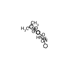 C[C@@H]1C[C@H](C)CN(S(=O)(=O)c2ccc(C(=O)Nc3nnc(C4CCCCC4)o3)cc2)C1